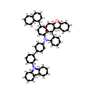 c1cc(-c2ccc(N(c3ccc(-c4cccc5ccccc45)cc3)c3ccccc3-c3cccc4oc5ccccc5c34)cc2)cc(-n2c3ccccc3c3ccccc32)c1